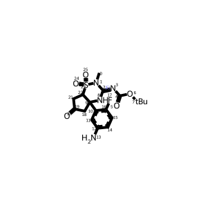 CN1/C(=N/C(=O)OC(C)(C)C)NC2(c3cc(N)ccc3F)CC(=O)CC2S1(=O)=O